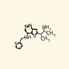 C[C@H](N)[C@@H](C)c1cc2nncc(NCc3cccs3)c2s1